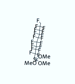 CO[Si](CC(F)(F)C(F)(F)C(F)(F)C(F)(F)C(F)(F)C(F)(F)C(F)(F)C(F)(F)CF)(OC)OC